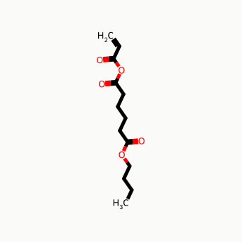 C=CC(=O)OC(=O)CCCCC(=O)OCCCC